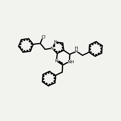 ClC(Cn1ncc2c1N=C(Cc1ccccc1)NC2NCc1ccccc1)c1ccccc1